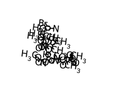 CCOC(=O)C1=NOC(c2ccccc2)(c2ccccc2)C1.CCc1cc(C)cc(CC)c1-c1c(OC(=O)C(C)(C)C)n2n(c1=O)CCOCC2.Cc1c(C(=O)c2cnn(C)c2O)ccc(S(C)(=O)=O)c1C1=NOCC1.N#Cc1cc(Br)c(O)c(Br)c1